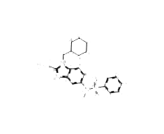 CN(c1ccc2c(c1)nc(C(C)(C)C)n2CC1CCCCC1)S(=O)(=O)c1ccccc1